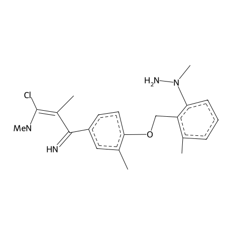 CN/C(Cl)=C(/C)C(=N)c1ccc(OCc2c(C)cccc2N(C)N)c(C)c1